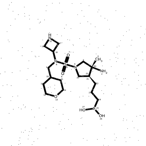 C[C@]1(N)CN(S(=O)(=O)N(CC2CCOCC2)C2CNC2)C[C@@H]1CCCB(O)O